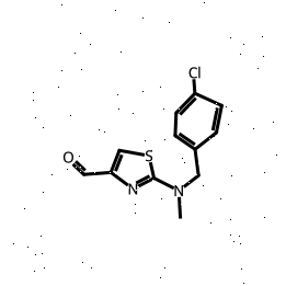 CN(Cc1ccc(Cl)cc1)c1nc(C=O)cs1